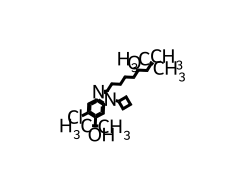 CC(C)(C)CC(=O)CCCCc1nc2cc(Cl)c(C(C)(C)O)cc2n1C1CCC1